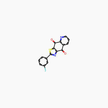 O=C1c2cccnc2C(=O)c2sc(-c3cccc(F)c3)nc21